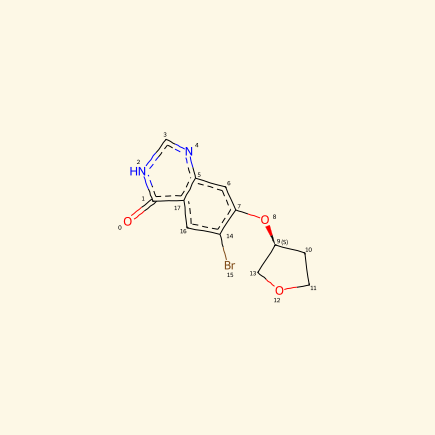 O=c1[nH]cnc2cc(O[C@H]3CCOC3)c(Br)cc12